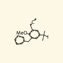 C=C=Cc1cc(C(C)(C)I)cc(Cc2ccccc2)c1OC